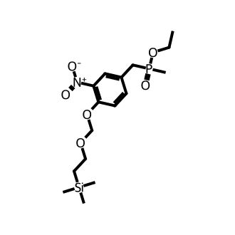 CCOP(C)(=O)Cc1ccc(OCOCC[Si](C)(C)C)c([N+](=O)[O-])c1